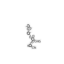 Cc1cccc2c1OC(c1cccc(COc3cc(OCc4cncc(C#N)c4)c(C=O)cc3Cl)c1C)CO2